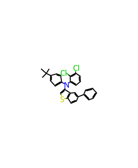 CC(C)(C)c1ccc(N(c2cccc(Cl)c2Cl)c2csc3ccc(-c4ccccc4)cc23)cc1